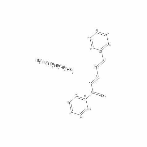 Br.Br.Br.Br.Br.Br.O=C(C=CC=Cc1ccccc1)c1ccccc1